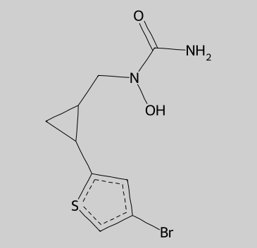 NC(=O)N(O)CC1CC1c1cc(Br)cs1